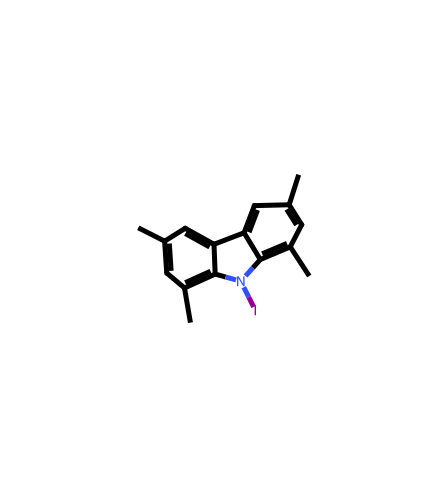 Cc1cc(C)c2c(c1)c1cc(C)cc(C)c1n2I